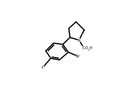 O=C(O)N1CCCC1c1ccc(F)cc1Br